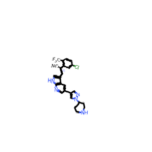 N#C/C(=C\c1c[nH]c2ncc(-c3cnn(C4CCNCC4)c3)cc12)c1cc(Cl)ccc1C(F)(F)F